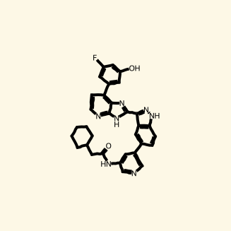 O=C(CC1CCCCC1)Nc1cncc(-c2ccc3[nH]nc(-c4nc5c(-c6cc(O)cc(F)c6)ccnc5[nH]4)c3c2)c1